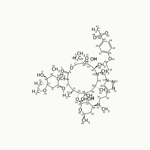 CC[C@H]1OC(=O)[C@H](C)[C@@H](O[C@H]2C[C@@](C)(OC)[C@@H](O)[C@H](C)O2)[C@H](C)[C@@H](O[C@@H]2O[C@H](C)C[C@H](N(C)CCc3cn(CCCOc4ccc(S(C)(=O)=O)cc4)nn3)[C@H]2O)[C@](C)(O)C[C@@H](C)CN(C)[C@H](C)[C@@H](O)[C@]1(C)O